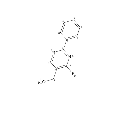 CCc1cnc(-c2ccccc2)nc1F